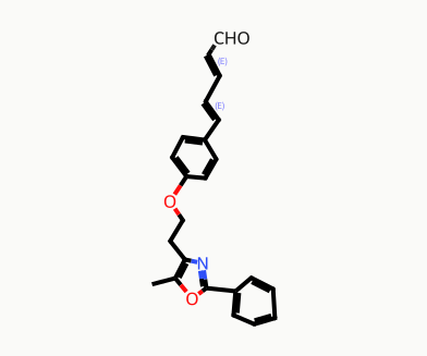 Cc1oc(-c2ccccc2)nc1CCOc1ccc(/C=C/C=C/C=O)cc1